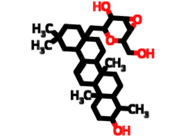 CC1C(O)CCC2(C)C1CCC1(C)C3CCC4(CC5OC(CO)C6OC6C5O)CCC(C)(C)CC4C3=CCC12